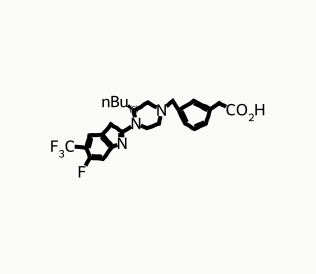 CCCC[C@H]1CN(Cc2cccc(CC(=O)O)c2)CCN1C1=Nc2cc(F)c(C(F)(F)F)cc2C1